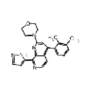 Cc1cccc(-c2cc(N3CCOCC3)nc3c(-c4ccn[nH]4)nccc23)c1C